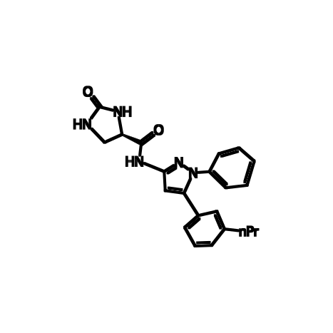 CCCc1cccc(-c2cc(NC(=O)[C@H]3CNC(=O)N3)nn2-c2ccccc2)c1